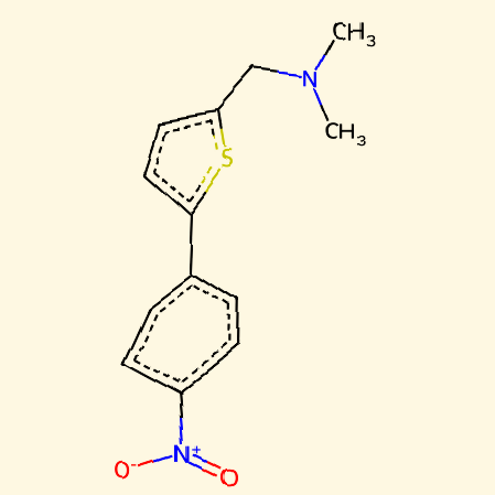 CN(C)Cc1ccc(-c2ccc([N+](=O)[O-])cc2)s1